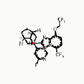 Fc1cc(N2C[C@H]3CC[C@@H](C2)C3Nc2nc3c(OCC(F)(F)F)ccc(C(F)(F)F)n3n2)ncn1